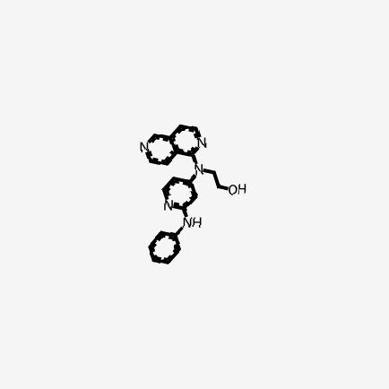 OCCN(c1ccnc(Nc2ccccc2)c1)c1nccc2cnccc12